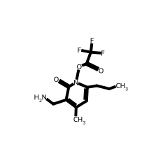 CCCc1cc(C)c(CN)c(=O)n1OC(=O)C(F)(F)F